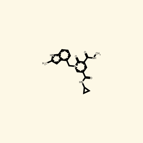 CNC(=O)c1cc(C(=O)NC2CC2)cn(Cc2cccc3[nH]c(C)cc23)c1=O